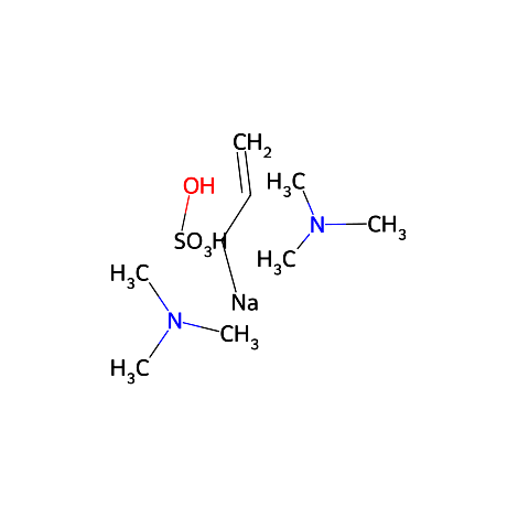 C=C[CH2][Na].CN(C)C.CN(C)C.O=S(=O)(O)O